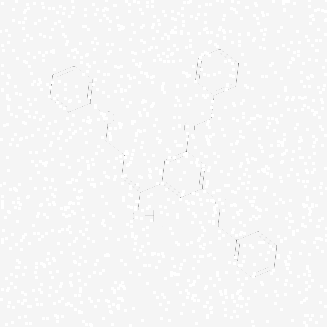 C/C(=C/CCOc1ccccc1)c1cc(OCc2ccccc2)cc(OCc2ccccc2)c1